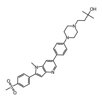 Cn1c(-c2ccc(S(C)(=O)=O)cc2)cc2ncc(-c3ccc(N4CCN(CCC(C)(C)O)CC4)cc3)cc21